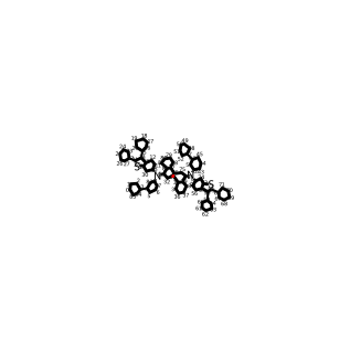 c1ccc(-c2cccc(N(c3ccc4c(-c5ccccc5)c(-c5ccccc5)sc4c3)c3cc4c5ccccc5c(N(c5cccc(-c6ccccc6)c5)c5ccc6c(-c7ccccc7)c(-c7ccccc7)sc6c5)cc4c4ccccc34)c2)cc1